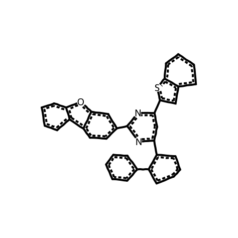 c1ccc(-c2ccccc2-c2cc(-c3cc4ccccc4s3)nc(-c3ccc4c(c3)oc3ccccc34)n2)cc1